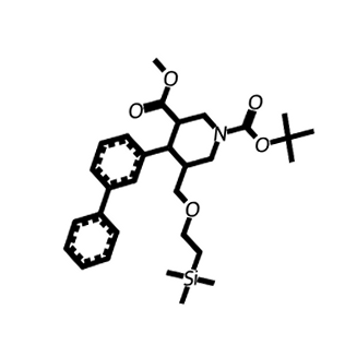 COC(=O)C1CN(C(=O)OC(C)(C)C)CC(COCC[Si](C)(C)C)C1c1cccc(-c2ccccc2)c1